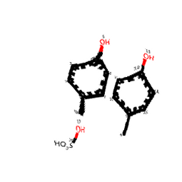 Cc1ccc(O)cc1.Cc1ccc(O)cc1.O=S(=O)(O)O